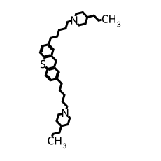 CCCC1CCN(CCCCCc2ccc3c(c2)Cc2cc(CCCCCN4CCC(CCC)CC4)ccc2S3)CC1